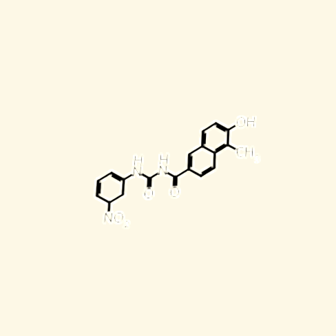 Cc1c(O)ccc2cc(C(=O)NC(=O)NC3=CC=CC([N+](=O)[O-])C3)ccc12